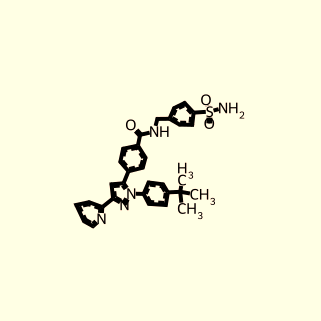 CC(C)(C)c1ccc(-n2nc(-c3ccccn3)cc2-c2ccc(C(=O)NCc3ccc(S(N)(=O)=O)cc3)cc2)cc1